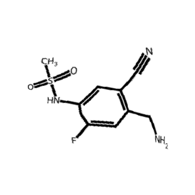 CS(=O)(=O)Nc1cc(C#N)c(CN)cc1F